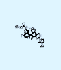 CC1C(N(C)C)CCN1c1ncc2c3c(c(-c4ncc(F)c5sc(NC(=O)OC(C)(C)C)c(C#N)c45)c(F)c2n1)COC3